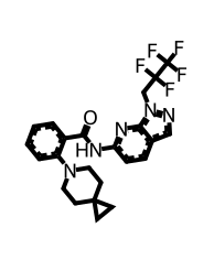 O=C(Nc1ccc2cnn(CC(F)(F)C(F)(F)F)c2n1)c1ccccc1N1CCC2(CC1)CC2